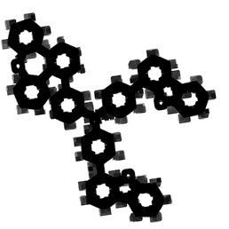 c1cc(-c2cccc3c2-c2ccccc2Oc2ccccc2-3)cc(N(c2ccc(-c3cccc4c3oc3ccccc34)cc2)c2ccc(-c3cccc4c3oc3ccccc34)cc2)c1